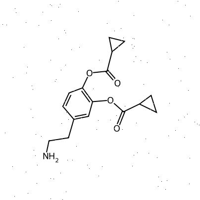 NCCc1ccc(OC(=O)C2CC2)c(OC(=O)C2CC2)c1